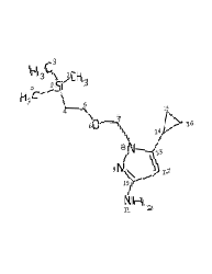 C[Si](C)(C)CCOCn1nc(N)cc1C1CC1